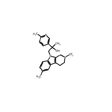 Cc1ccc2c(c1)c1c(n2CC(C)(O)c2ccc(C)nc2)CN(C(F)(F)F)CC1